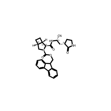 N#C[C@H](C[C@@H]1CCNC1=O)NC(=O)[C@@H]1[C@H]2CC[C@H]2CN1C(=O)OCC1c2ccccc2-c2ccccc21